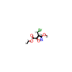 CCOC(=O)c1onc(OC)c1CBr